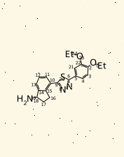 CCOc1ccc(-c2nnc(-c3cccc4c3CCC4N)s2)cc1OCC